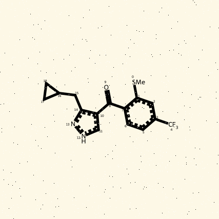 CSc1cc(C(F)(F)F)ccc1C(=O)c1[c][nH]nc1CC1CC1